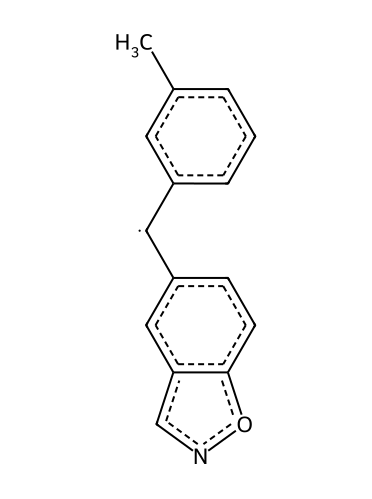 Cc1cccc([CH]c2ccc3oncc3c2)c1